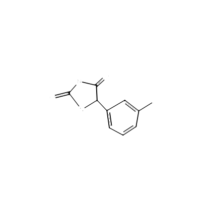 CCc1cccc(C2NC(=O)NC2=O)c1